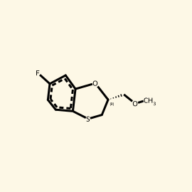 COC[C@@H]1CSc2ccc(F)cc2O1